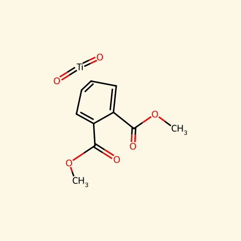 COC(=O)c1ccccc1C(=O)OC.[O]=[Ti]=[O]